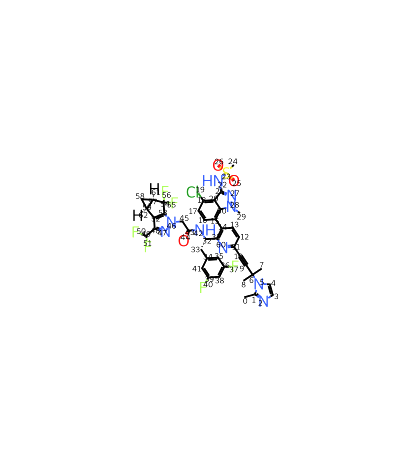 Cc1nccn1C(C)(C)C#Cc1ccc(-c2ccc(Cl)c3c(NS(C)(=O)=O)nn(C)c23)c([C@H](Cc2cc(F)cc(F)c2)NC(=O)Cn2nc(C(F)F)c3c2C(F)(F)[C@@H]2C[C@H]32)n1